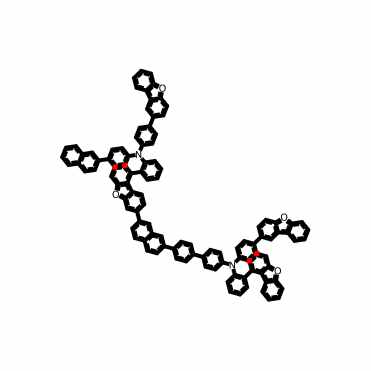 c1ccc(N(c2ccc(-c3ccc(-c4ccc5ccc(-c6ccc7c(c6)oc6cccc(-c8ccccc8N(c8ccc(-c9ccc%10ccccc%10c9)cc8)c8ccc(-c9ccc%10oc%11ccccc%11c%10c9)cc8)c67)cc5c4)cc3)cc2)c2ccc(-c3ccc4oc5ccccc5c4c3)cc2)c(-c2cccc3oc4ccccc4c23)c1